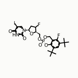 CC(C)(C)c1cc(C(C)(C)C)c2c(c1F)COP(=O)(OC[C@H]1O[C@@H](n3cc(I)c(=O)[nH]c3=O)CC1F)O2